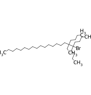 CCCCCCCCCCCCCCCCC(CC)(CCCC)C(Br)(CCCC)CCCC